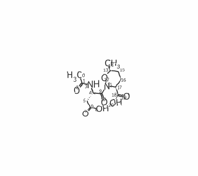 CC(=O)N[C@@H](CC(=O)O)C(=O)N1O[C@@H](C)CC[C@H]1C(=O)O